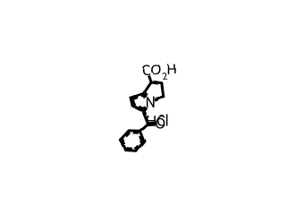 Cl.O=C(c1ccccc1)c1ccc2n1CCC2C(=O)O